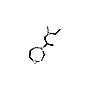 CCN(C)CC(C)N1CCCOCC1